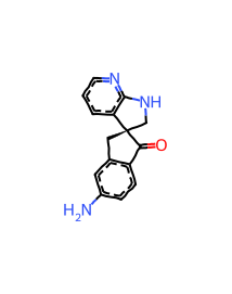 Nc1ccc2c(c1)C[C@@]1(CNc3ncccc31)C2=O